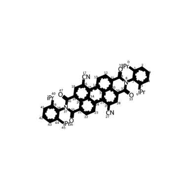 CC(C)c1cccc(C(C)C)c1N1C(=O)c2ccc3c4c(C#N)cc5c6c(ccc(c7c(C#N)cc(c2c37)C1=O)c64)C(=O)N(c1c(C(C)C)cccc1C(C)C)C5=O